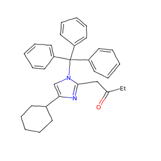 CCC(=O)Cc1nc(C2CCCCC2)cn1C(c1ccccc1)(c1ccccc1)c1ccccc1